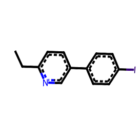 CCc1ccc(-c2ccc(I)cc2)cn1